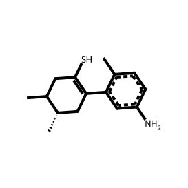 Cc1ccc(N)cc1C1=C(S)CC(C)[C@@H](C)C1